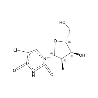 C[C@@H]1[C@H](O)[C@@H](CO)O[C@H]1n1cc(Cl)c(=O)[nH]c1=O